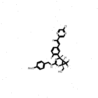 COc1ccc(CNC2=N[C@](C)(c3cc(/C=C(\F)c4cnc(Cl)cn4)ccc3F)[C@H]3C(F)(F)[C@]3(CO)S2)cc1